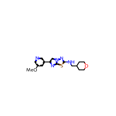 COc1cncc(-c2cn3nc(NCC4CCOCC4)sc3n2)c1